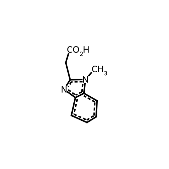 Cn1c(CC(=O)O)nc2ccccc21